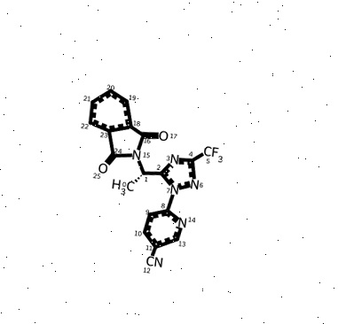 C[C@@H](c1nc(C(F)(F)F)nn1-c1ccc(C#N)cn1)N1C(=O)c2ccccc2C1=O